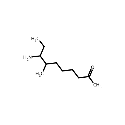 CCC(N)C(C)CCCCC(C)=O